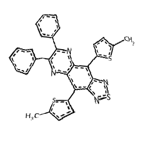 Cc1ccc(-c2c3nsnc3c(-c3ccc(C)s3)c3nc(-c4ccccc4)c(-c4ccccc4)nc23)s1